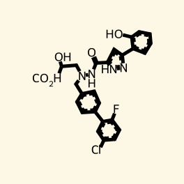 O=C(NN(Cc1ccc(-c2cc(Cl)ccc2F)cc1)CC(O)C(=O)O)c1cc(-c2ccccc2O)n[nH]1